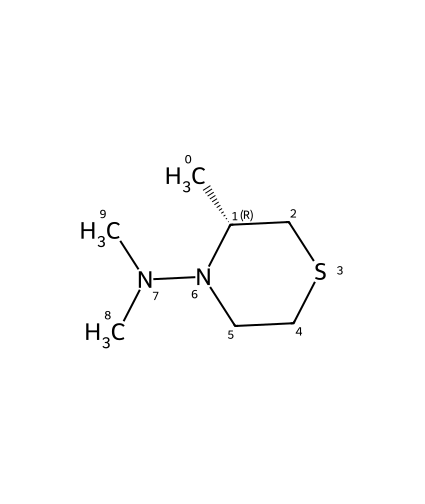 C[C@@H]1CSCCN1N(C)C